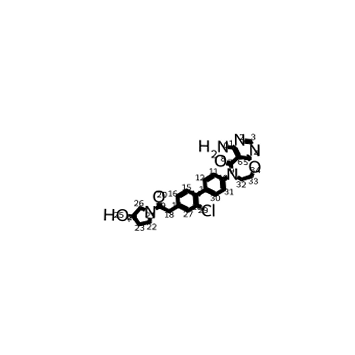 Nc1ncnc2c1C(=O)N(c1ccc(-c3ccc(CC(=O)N4CC[C@@H](O)C4)cc3Cl)cc1)CCO2